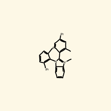 Cc1cc(C(C)C)ccc1-c1n(-c2c(C(C)C)cccc2C(C)C)c2ccccc2[n+]1C